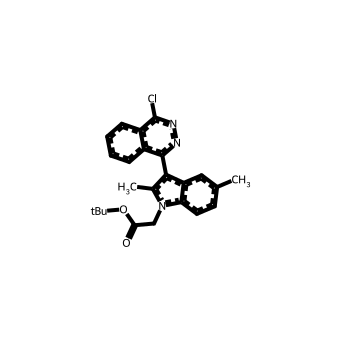 Cc1ccc2c(c1)c(-c1nnc(Cl)c3ccccc13)c(C)n2CC(=O)OC(C)(C)C